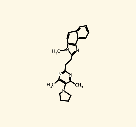 Cc1nc(CCc2nc3c4ccccc4ccc3n2C)nc(C)c1N1CCCC1